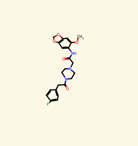 COc1cc2c(cc1NC(=O)CN1CCN(C(=O)Cc3ccc(F)cc3)CC1)OCO2